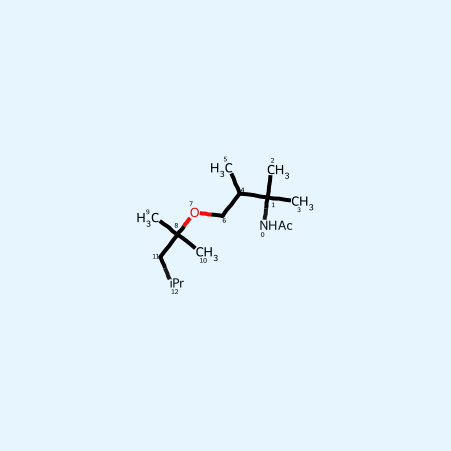 CC(=O)NC(C)(C)C(C)COC(C)(C)CC(C)C